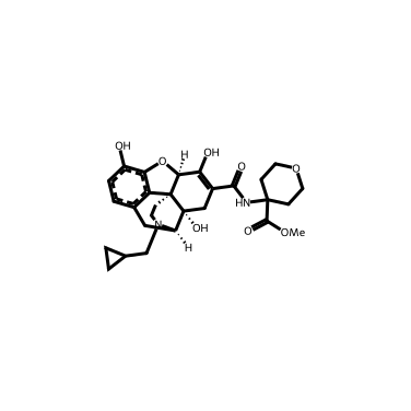 COC(=O)C1(NC(=O)C2=C(O)[C@@H]3Oc4c(O)ccc5c4[C@@]34CCN(CC3CC3)[C@H](C5)[C@]4(O)C2)CCOCC1